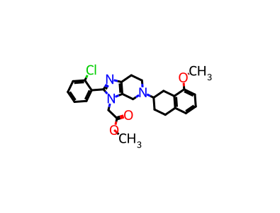 COC(=O)Cn1c(-c2ccccc2Cl)nc2c1CN(C1CCc3cccc(OC)c3C1)CC2